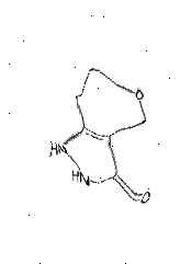 O=c1[nH][nH]c2c1COCC2